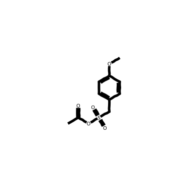 COc1ccc(CS(=O)(=O)OC(C)=O)cc1